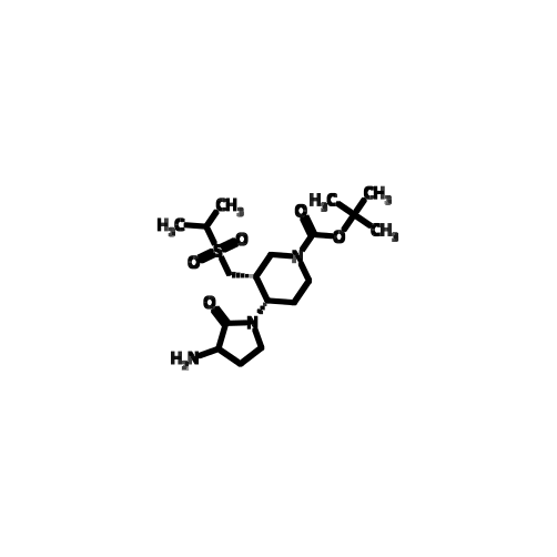 CC(C)S(=O)(=O)C[C@@H]1CN(C(=O)OC(C)(C)C)CC[C@@H]1N1CCC(N)C1=O